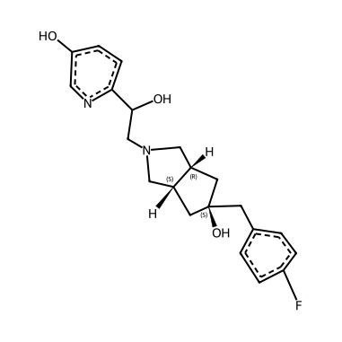 Oc1ccc(C(O)CN2C[C@@H]3C[C@](O)(Cc4ccc(F)cc4)C[C@@H]3C2)nc1